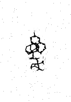 O=C(OC1C2CC3(C(=O)Oc4ccc5cc(S(=O)(=O)O)ccc5c4)C(=O)OC1C3O2)C12CC3CC(CC(C3)C1)C2